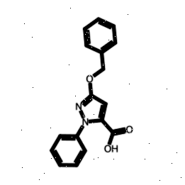 O=C(O)c1cc(OCc2ccccc2)nn1-c1ccccc1